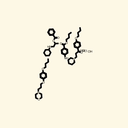 CC(CNC1CCCCC1)OC(=O)c1ccccc1.CCCCOC(=O)c1ccc(N)cc1.CCCCOc1ccc(C(=O)CCN2CCCCC2)cc1.CCCCOc1ccc(OCCCN2CCOCC2)cc1.Cl.Cl.Cl